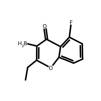 Bc1c(CC)oc2cccc(F)c2c1=O